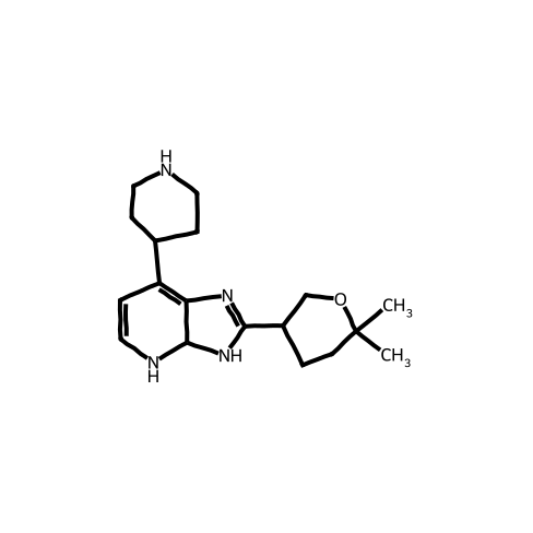 CC1(C)CCC(C2=NC3=C(C4CCNCC4)C=CNC3N2)CO1